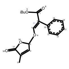 CC1=CC(O/C=C(/C(=O)OCC(C)C)c2ccccc2)OC1=O